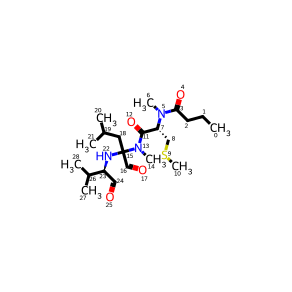 CCCC(=O)N(C)[C@H](CSC)C(=O)N(C)C(C=O)(CC(C)C)N[C@@H](C=O)C(C)C